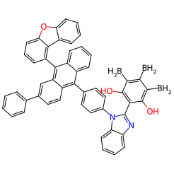 Bc1c(B)c(O)c(-c2nc3ccccc3n2-c2ccc(-c3c4ccccc4c(-c4cccc5oc6ccccc6c45)c4cc(-c5ccccc5)ccc34)cc2)c(O)c1B